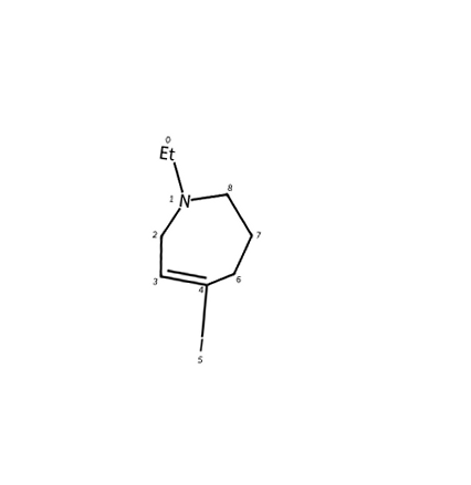 CCN1CC=C(I)CCC1